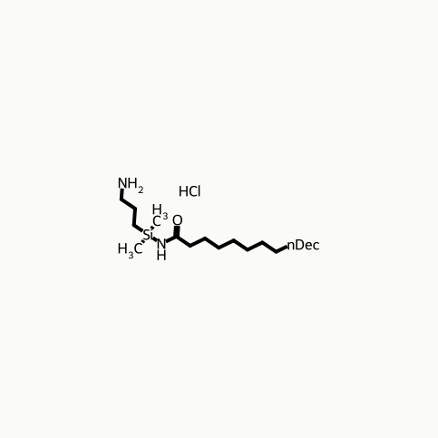 CCCCCCCCCCCCCCCCCC(=O)N[Si](C)(C)CCCN.Cl